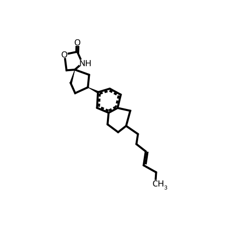 CCC=CCCC1CCc2cc([C@H]3CC[C@]4(COC(=O)N4)C3)ccc2C1